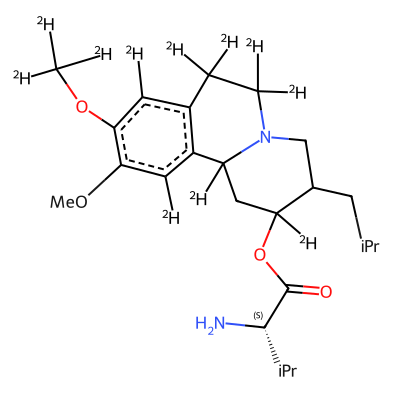 [2H]c1c(OC)c(OC([2H])([2H])[2H])c([2H])c2c1C1([2H])CC([2H])(OC(=O)[C@@H](N)C(C)C)C(CC(C)C)CN1C([2H])([2H])C2([2H])[2H]